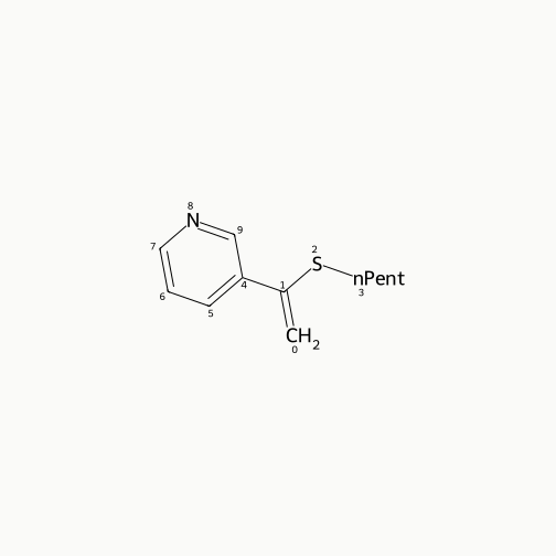 C=C(SCCCCC)c1cccnc1